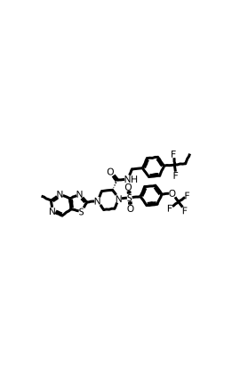 CCC(F)(F)c1ccc(CNC(=O)[C@H]2CN(c3nc4nc(C)ncc4s3)CCN2S(=O)(=O)c2ccc(OC(F)(F)F)cc2)cc1